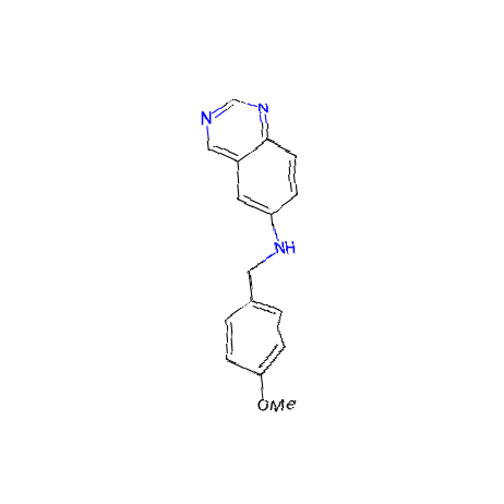 COc1ccc(CNc2ccc3ncncc3c2)cc1